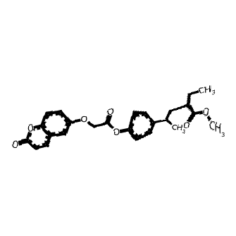 CCC(CC(C)c1ccc(OC(=O)COc2ccc3oc(=O)ccc3c2)cc1)C(=O)OC